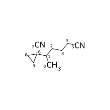 CC(CCCC#N)C1(C#N)CC1